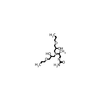 C=CCOCC(O)CN(CC(O)COCC=C)C(C)/C=N/C(N)=O